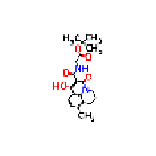 Cc1ccc2c(O)c(C(=O)NCC(=O)OC(C)(C)C)c(=O)n3c2c1CCC3